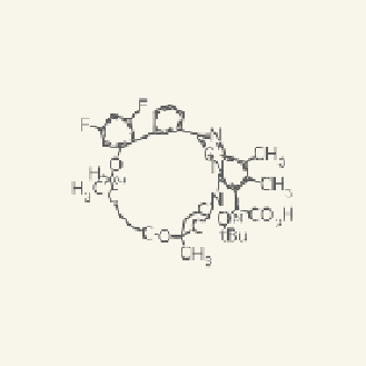 Cc1c([C@H](OC(C)(C)C)C(=O)O)c2n3cc(nc3c1C)-c1cccc(c1)-c1c(F)cc(F)cc1O[C@@H](C)CCCCOC1(C)CCN2CC1